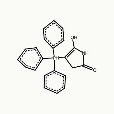 O=C1CC([PH](c2ccccc2)(c2ccccc2)c2ccccc2)=C(O)N1